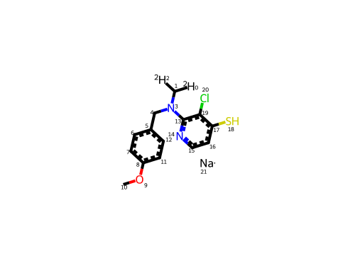 [2H]C([2H])N(Cc1ccc(OC)cc1)c1nccc(S)c1Cl.[Na]